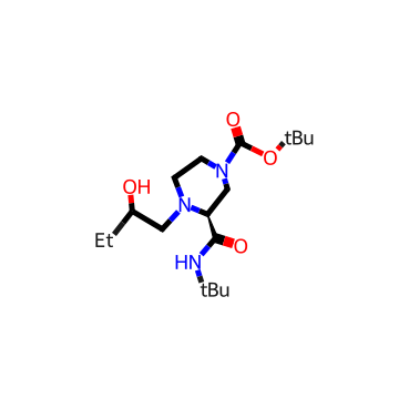 CCC(O)CN1CCN(C(=O)OC(C)(C)C)C[C@H]1C(=O)NC(C)(C)C